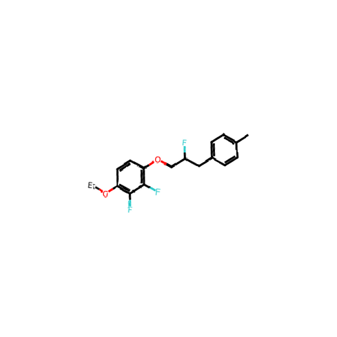 CCOc1ccc(OCC(F)Cc2ccc(C)cc2)c(F)c1F